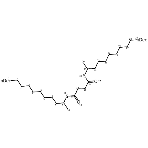 CCCCCCCCCCCCCCCCCCC(C)SC(=O)CCC(=O)SC(C)CCCCCCCCCCCCCCCCCC